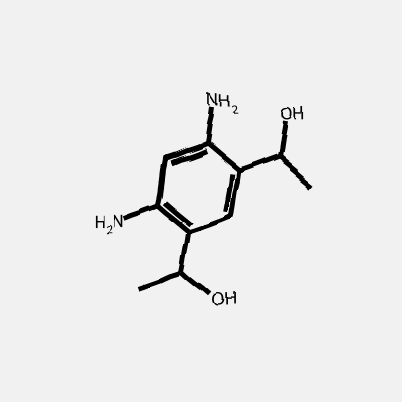 CC(O)c1cc(C(C)O)c(N)cc1N